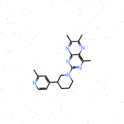 Cc1cc(C2CCCN(c3nc(C)c4nc(C)c(C)nc4n3)C2)ccn1